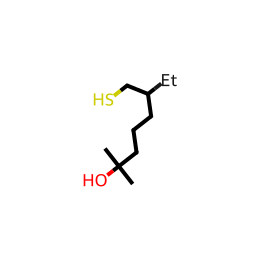 CCC(CS)CCCC(C)(C)O